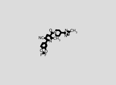 Cc1nc(C2CCN(C(=O)c3cc(C#N)c(-c4ccc5c(c4)OC(F)(F)O5)nc3C)CC2)no1